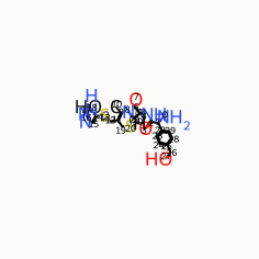 NC(C(=O)N[C@@H]1C(=O)N2C(C(=O)O)=C(CSc3cnn[nH]3)CS[C@@H]12)c1ccc(CO)cc1